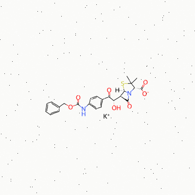 CC1(C)S[C@@H]2[C@H]([C@H](O)C(=O)c3ccc(NC(=O)OCc4ccccc4)cc3)C(=O)N2[C@H]1C(=O)[O-].[K+]